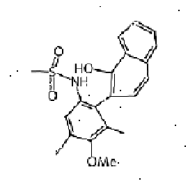 COc1c(C)cc(NS(C)(=O)=O)c(-c2ccc3ccccc3c2O)c1C